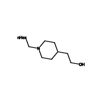 CCCCCCCN1CCC(CCO)CC1